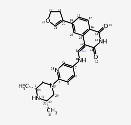 C[C@@H]1CN(c2ccc(N/C=C3\C(=O)NC(=O)c4ccc(C5=COCC5)cc43)cn2)C[C@H](C)N1